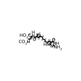 Nc1nc2[nH]c(CCCCc3cc(C(=O)N[C@@H](CCC(=O)O)C(=O)O)cs3)cc2c(=O)[nH]1